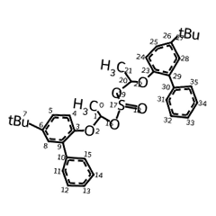 CC(Oc1ccc(C(C)(C)C)cc1-c1ccccc1)OS(=O)OC(C)Oc1ccc(C(C)(C)C)cc1-c1ccccc1